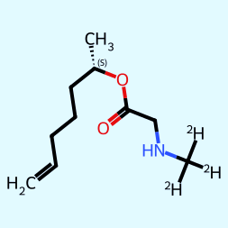 [2H]C([2H])([2H])NCC(=O)O[C@@H](C)CCCC=C